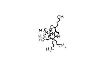 C=CC[Si](CC=C)(CC=C)c1ncc(C(=O)CCCO)n1S(=O)(=O)N(C)C